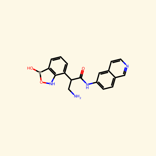 NCC(C(=O)Nc1ccc2cnccc2c1)c1cccc2c1NOB2O